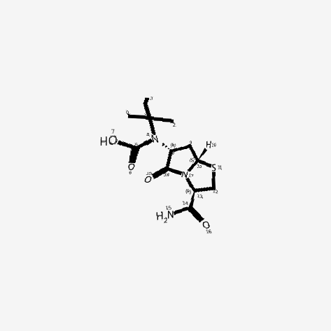 CC(C)(C)N(C(=O)O)[C@@H]1C[C@@H]2SC[C@@H](C(N)=O)N2C1=O